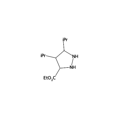 CCOC(=O)C1NNC(C(C)C)C1C(C)C